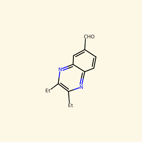 CCc1nc2ccc(C=O)cc2nc1CC